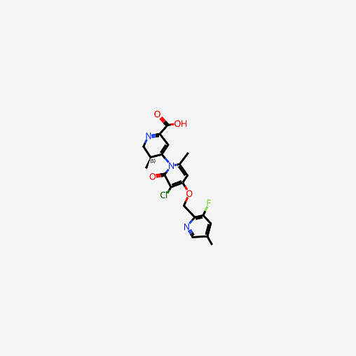 Cc1cnc(COc2cc(C)n(C3=CC(C(=O)O)=NC[C@@H]3C)c(=O)c2Cl)c(F)c1